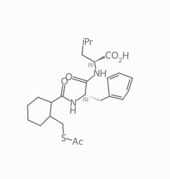 CC(=O)SCC1CCCCC1C(=O)N[C@@H](Cc1ccccc1)C(=O)N[C@@H](CC(C)C)C(=O)O